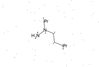 CC(C)CCN(N)C(C)C